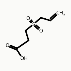 C=CCS(=O)(=O)CCC(=O)O